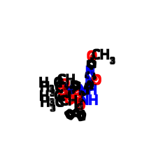 COC1CCC(N2CCN(c3ccc(C[C@H](NC(=O)OCC4c5ccccc5-c5ccccc54)C(=O)Nc4cccc5c4cc(C(=O)OC(C)(C)C)n5C(=O)OC(C)(C)C)cc3)C(=O)C2)CC1